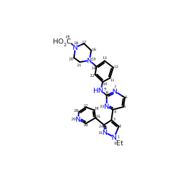 CCn1cc(-c2ccnc(Nc3cccc(N4CCN(C(=O)O)CC4)c3)n2)c(-c2cccnc2)n1